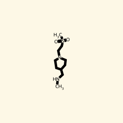 CNCC1CCN(CCS(C)(=O)=O)CC1